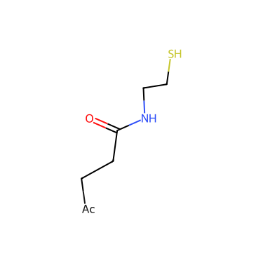 CC(=O)CCC(=O)NCCS